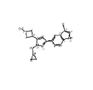 CCN1CC(c2cc(-c3cnc4[nH]cc(C)c4c3)nn2CC2CC2)C1